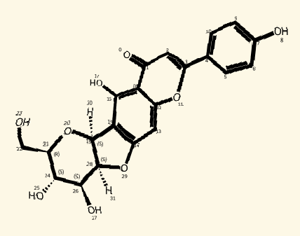 O=c1cc(-c2ccc(O)cc2)oc2cc3c(c(O)c12)[C@@H]1O[C@H](CO)[C@@H](O)[C@H](O)[C@@H]1O3